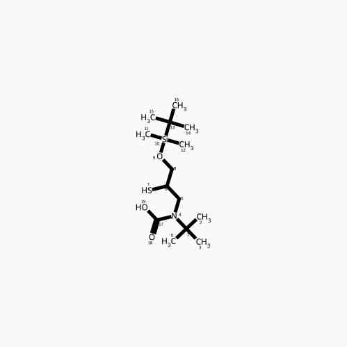 CC(C)(C)N(CC(S)CO[Si](C)(C)C(C)(C)C)C(=O)O